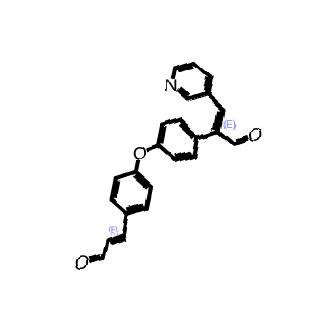 O=C/C=C/c1ccc(Oc2ccc(/C(C=O)=C\c3cccnc3)cc2)cc1